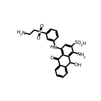 NCCS(=O)(=O)c1cccc(Nc2cc(S(=O)(=O)O)c(N)c3c2C(=O)c2ccccc2C3O)c1